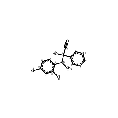 C#CC(O)(c1cncnc1)C(C)c1ccc(Cl)cc1Cl